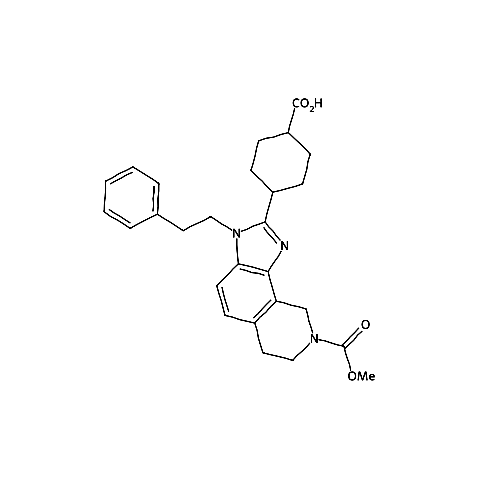 COC(=O)N1CCc2ccc3c(nc(C4CCC(C(=O)O)CC4)n3CCc3ccccc3)c2C1